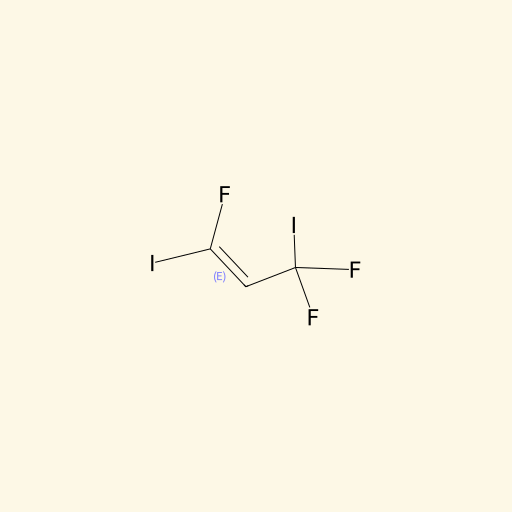 F/C(I)=C\C(F)(F)I